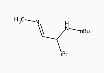 CCCCNC(/C=N/C)C(C)C